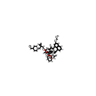 COCOc1cc(-c2ncc3c(N4CC5CCC(C4)N5C(=O)OC(C)(C)C)nc(OCC4(CN5CCC(C=O)CC5)CC4)nc3c2F)c2c(C#C[Si](C(C)C)(C(C)C)C(C)C)cccc2c1